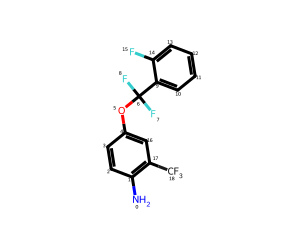 Nc1ccc(OC(F)(F)c2ccccc2F)cc1C(F)(F)F